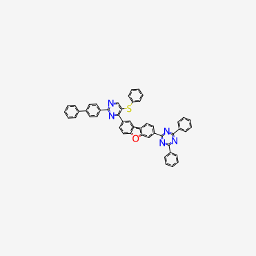 c1ccc(Sc2cnc(-c3ccc(-c4ccccc4)cc3)nc2-c2ccc3oc4cc(-c5nc(-c6ccccc6)nc(-c6ccccc6)n5)ccc4c3c2)cc1